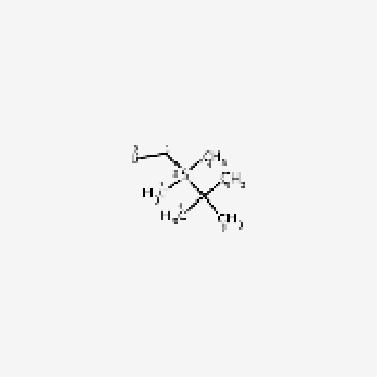 [Li][CH2][Si](C)(C)C(C)(C)C